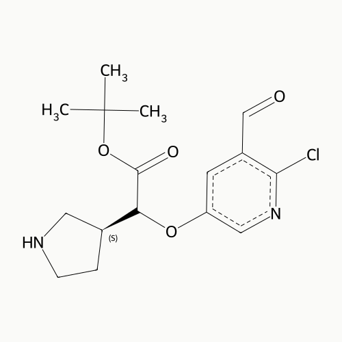 CC(C)(C)OC(=O)C(Oc1cnc(Cl)c(C=O)c1)[C@H]1CCNC1